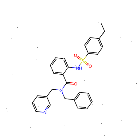 CCc1ccc(S(=O)(=O)Nc2ccccc2C(=O)N(Cc2ccccc2)Cc2cccnc2)cc1